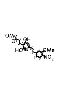 COC(=O)CCc1c(O)nc(SCc2ccc([N+](=O)[O-])c(OC)c2)nc1O